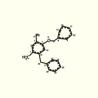 Cc1cc(C(C)C)c(OCc2ccccc2)cc1Cc1ccccc1